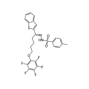 Cc1ccc(S(=O)(=O)NN=C(CCCCOc2c(F)c(F)c(F)c(F)c2F)c2cc3ccccc3s2)cc1